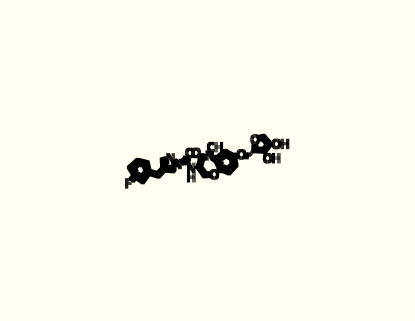 CN1C(=O)[C@@H](NC(=O)n2cc(Cc3cccc(F)c3)cn2)COc2ccc(OC[C@@H]3OC[C@@H](O)[C@H]3O)cc21